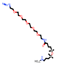 C[Si](C)(CCCNC(=O)O)O[Si](C)(C)CCCC(=O)NCCOCCOCCOCCOCCOCCN=[N+]=[N-]